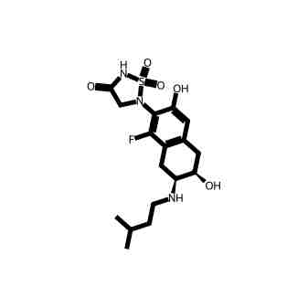 CC(C)CCN[C@H]1Cc2c(cc(O)c(N3CC(=O)NS3(=O)=O)c2F)C[C@H]1O